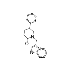 O=C1CCC(c2ccccc2)CN1Cc1cnc2ccccn12